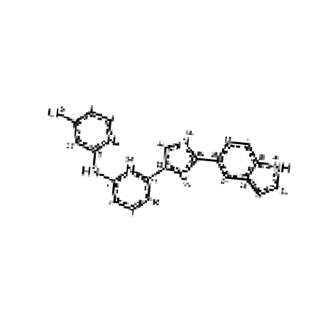 Clc1ccnc(Nc2cccc(-c3cnc(-c4ccc5[nH]ccc5c4)o3)n2)c1